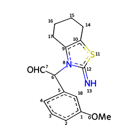 COc1cccc(C(C=O)n2c3c(sc2=N)CCCC3)c1